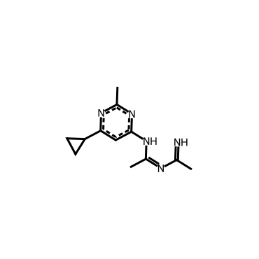 CC(=N)/N=C(/C)Nc1cc(C2CC2)nc(C)n1